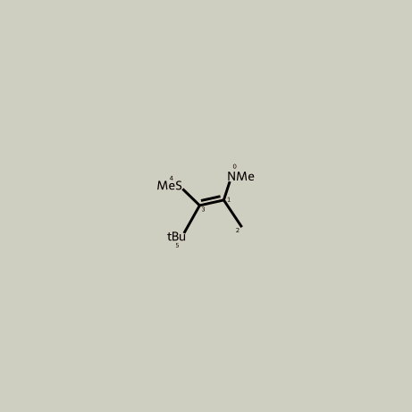 CN/C(C)=C(\SC)C(C)(C)C